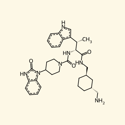 C[C@@H](c1c[nH]c2ccccc12)[C@@H](NC(=O)N1CCC(n2c(=O)[nH]c3ccccc32)CC1)C(=O)NC[C@@H]1CCC[C@@H](CN)C1